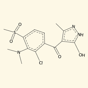 Cc1n[nH]c(O)c1C(=O)c1ccc(S(C)(=O)=O)c(N(C)C)c1Cl